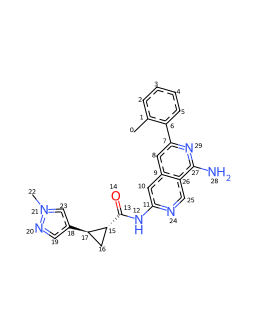 Cc1ccccc1-c1cc2cc(NC(=O)[C@@H]3C[C@H]3c3cnn(C)c3)ncc2c(N)n1